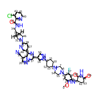 COc1cc(N2CCN(C3CCC(n4cc(-c5cn6ncc(C#N)c6c(-c6ccc(N7C[C@@H]8C(CNC(=O)c9ncccc9Cl)[C@@H]8C7)nc6)n5)cn4)CC3)CC2)c(F)cc1NC1CCC(=O)NC1=O